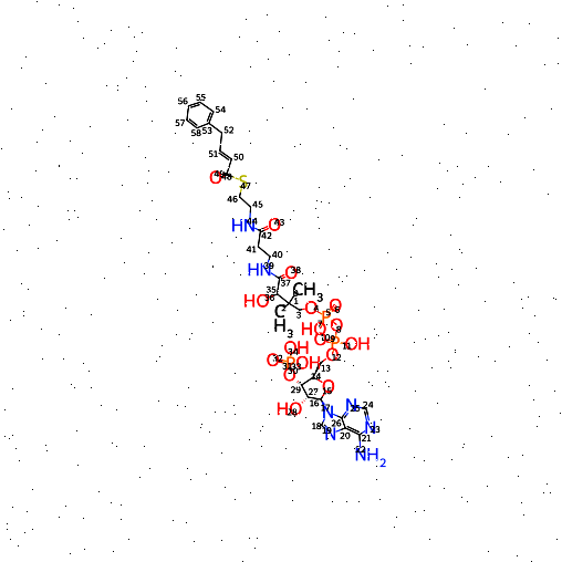 CC(C)(COP(=O)(O)OP(=O)(O)OC[C@H]1O[C@@H](n2cnc3c(N)ncnc32)[C@H](O)[C@@H]1OP(=O)(O)O)[C@@H](O)C(=O)NCCC(=O)NCCSC(=O)C=CCc1ccccc1